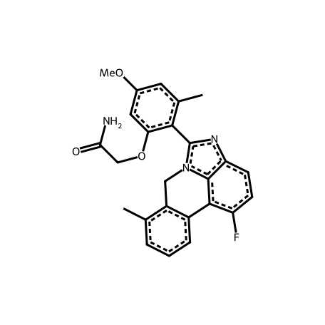 COc1cc(C)c(-c2nc3ccc(F)c4c3n2Cc2c(C)cccc2-4)c(OCC(N)=O)c1